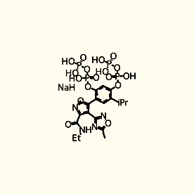 CCNC(=O)c1noc(-c2cc(C(C)C)c(OP(=O)(O)OP(=O)(O)O)cc2OP(=O)(O)OP(=O)(O)O)c1-c1noc(C)n1.[NaH]